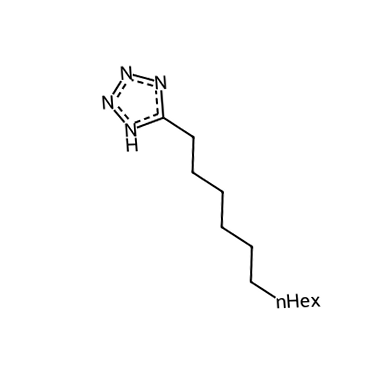 [CH2]CCCCCCCCCCCc1nnn[nH]1